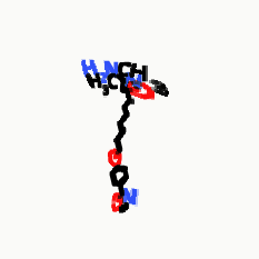 CC(C)(N)c1cc(CCCCCCCOc2ccc(C3=NCCO3)cc2)on1